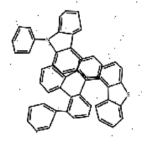 c1ccc(-c2ccccc2-c2c(-c3ccccc3)cccc2N(c2ccc3c(c2)c2ccccc2n3-c2ccccc2)c2cccc3sc4ccccc4c23)cc1